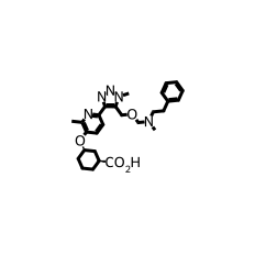 Cc1nc(-c2nnn(C)c2COCN(C)CCc2ccccc2)ccc1O[C@H]1CCC[C@H](C(=O)O)C1